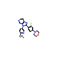 Cc1ccc(-n2c(-c3ccc(N4CCOCC4)cc3F)nc3ccncc32)cn1